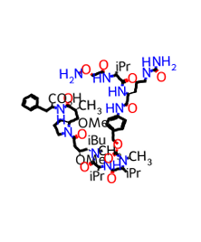 CC[C@H](C)[C@@H]([C@@H](CC(=O)N1CCC[C@H]1[C@H](OC)[C@@H](C)C(=O)N[C@@H](Cc1ccccc1)C(=O)O)OC)N(C)C(=O)[C@@H](NC(=O)C(C(C)C)N(C)C(=O)OCc1ccc(NC(=O)[C@H](CCCNC(N)=O)NC(=O)C(NC(=O)CON)C(C)C)cc1)C(C)C